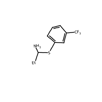 CCC(N)Sc1cccc(C(F)(F)F)c1